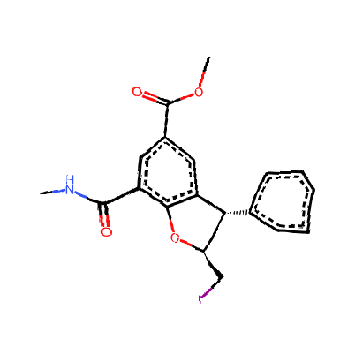 CNC(=O)c1cc(C(=O)OC)cc2c1O[C@H](CI)[C@H]2c1ccccc1